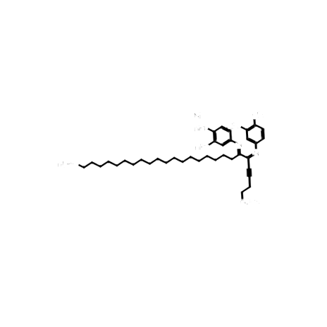 CCCCCCCCCCCCC#CC(=Nc1ccc(CCC)c(CCC)c1)C(CCCCCCCCCCCCCCCCCCCCCCCCCCCCC)=Nc1ccc(CCC)c(CCC)c1.[Ni]